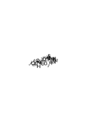 Cc1cc(C)c(C(=O)NC(Cc2ccc(-c3csc(CNc4ncc[nH]4)n3)cc2)C(=O)O)c(C)c1